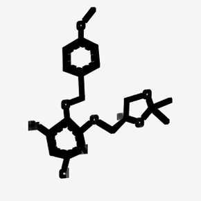 COc1ccc(COc2c(Br)cc(Cl)nc2OC[C@H]2COC(C)(C)O2)cc1